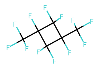 FC(F)(F)C1(F)C(F)(F)C(F)(C(F)(F)F)C1(F)F